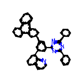 c1ccc(-c2nc(-c3ccccc3)nc(-c3cc(-c4ccc5c6ccccc6c6ccccc6c5c4)cc(-c4cccc5cccnc45)c3)n2)cc1